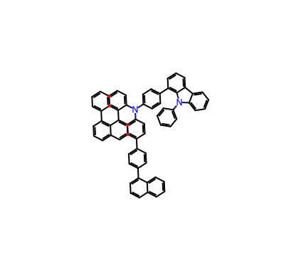 c1ccc(-c2cccc3cccc(-c4ccccc4N(c4ccc(-c5ccc(-c6cccc7ccccc67)cc5)cc4)c4ccc(-c5cccc6c7ccccc7n(-c7ccccc7)c56)cc4)c23)cc1